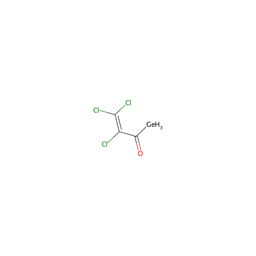 O=[C]([GeH3])C(Cl)=C(Cl)Cl